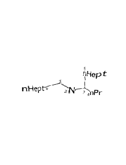 CCCCCCCC[N]C(CCC)CCCCCCC